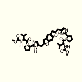 COC(=O)NC(C(=O)N1CCCC1c1ncc(Cc2cc3cc4cc(Cc5cnc(C6CCCN6C(=O)[C@@H](NC(=O)OC)C(C)C)[nH]5)oc4cc3o2)[nH]1)C(C)C